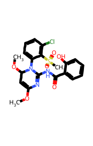 COC1=CC(OC)N(c2cccc(Cl)c2S(C)(=O)=O)C(NC(=O)c2ccccc2O)=N1